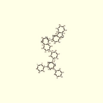 c1ccc(-c2nc(-c3ccccc3)nc(-c3cccc(-c4ccc5ncnc(-c6ccc7oc8ccccc8c7n6)c5c4)c3)n2)cc1